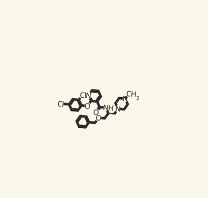 CN1CCN(C[C@@H](COCc2ccccc2)NC(=O)c2cccnc2Oc2ccc(Cl)cc2Cl)CC1